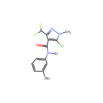 CCN(C(=O)c1c(C(F)F)nn(C)c1Cl)c1cccc(C(C)(C)C)c1